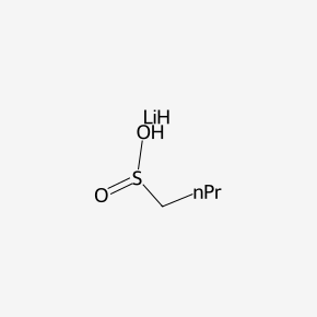 CCCCS(=O)O.[LiH]